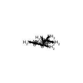 NCCCC[C@H](NN[C@@H](CCCCN)C(=O)C(=O)[C@H](CCCCN)NC(=O)[C@@H](N)CCCCN)C(=O)NCCCCCC(=O)C(=O)[C@@H](N)CCCCN